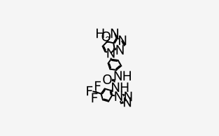 Nc1ncnc2c1c(=O)ccn2-c1ccc(NC(=O)Nc2cc(C(F)(F)F)ccc2-n2cnnc2)cc1